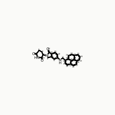 O=C1CCC(N2Cc3cc(NCc4ccc5ccc6cccc7ccc4c5c67)ccc3C2=O)C(=O)N1